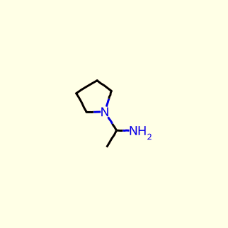 CC(N)N1CCCC1